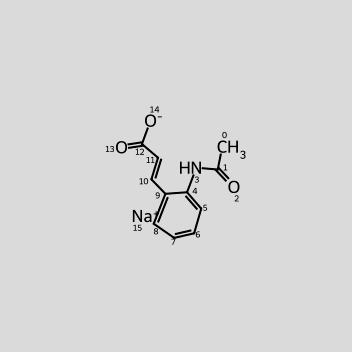 CC(=O)Nc1ccccc1/C=C/C(=O)[O-].[Na+]